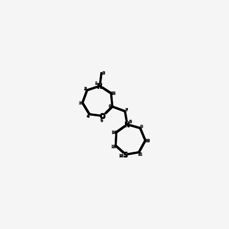 CN1CCCOC(CN2CCCSCC2)C1